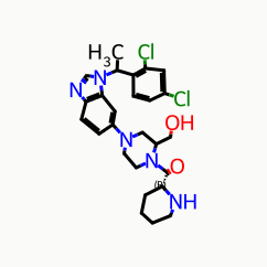 CC(c1ccc(Cl)cc1Cl)n1cnc2ccc(N3CCN(C(=O)[C@H]4CCCCN4)C(CO)C3)cc21